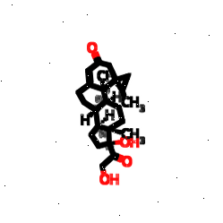 CC1CC12CC(=O)C=C1CC[C@@H]3[C@H](CC[C@@]4(C)[C@H]3CC[C@@]4(O)C(=O)CO)[C@]12C